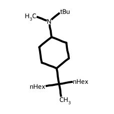 CCCCCCC(C)(CCCCCC)C1CCC(N(C)C(C)(C)C)CC1